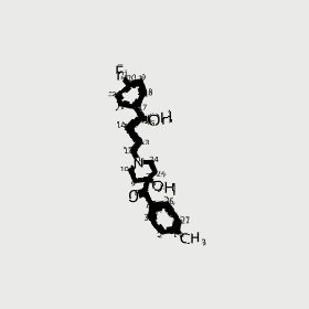 Cc1ccc(C(=O)C2(O)CCN(CC=CC(O)c3ccc(F)cc3)CC2)cc1